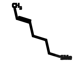 CC=CCCCSC